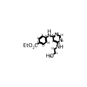 CCOC(=O)c1ccc(Nc2cc(NCCO)ncn2)cc1